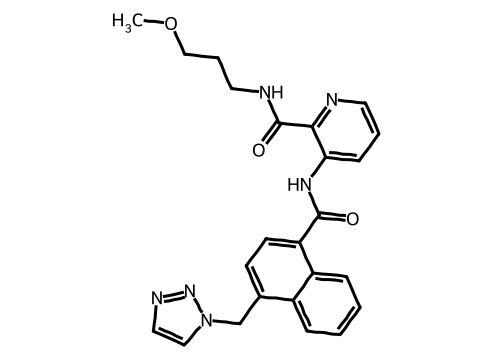 COCCCNC(=O)c1ncccc1NC(=O)c1ccc(Cn2ccnn2)c2ccccc12